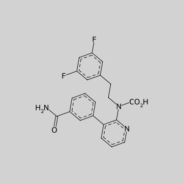 NC(=O)c1cccc(-c2cccnc2N(CCc2cc(F)cc(F)c2)C(=O)O)c1